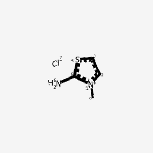 C[n+]1ccsc1N.[Cl-]